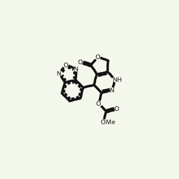 COC(=O)OC1=NNC2=C(C(=O)OC2)C1c1cccc2nonc12